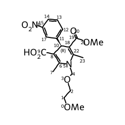 COCCOCN1C(C)=C(C(=O)O)[C@@H](c2cccc([N+](=O)[O-])c2)C(C(=O)OC)=C1C